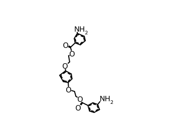 Nc1cccc(C(=O)OCCOc2ccc(OCCOC(=O)c3cccc(N)c3)cc2)c1